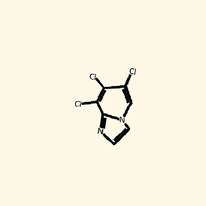 Clc1cn2ccnc2c(Cl)c1Cl